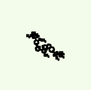 CO[C@@H]1CN(c2cccc(-c3cc(C)ccc3OCc3ccc4c(c3C)CCN(C(=O)OC(C)(C)C)CC4)n2)CC[C@@H]1C(=O)OC(C)(C)C